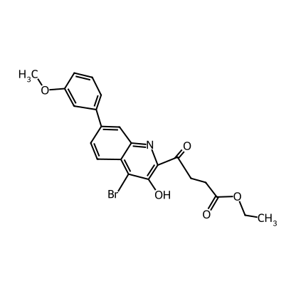 CCOC(=O)CCC(=O)c1nc2cc(-c3cccc(OC)c3)ccc2c(Br)c1O